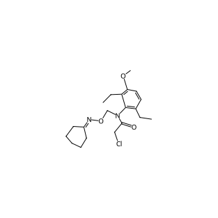 CCc1ccc(OC)c(CC)c1N(CON=C1CCCCC1)C(=O)CCl